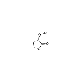 CC(=O)O[C@@H]1CCOC1=O